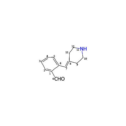 O=Cc1ccccc1C=C1CCNCC1